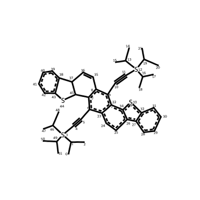 CC(C)S(C#Cc1c2c(c(C#CS(C(C)C)(C(C)C)C(C)C)c3c1ccc1c4ccccc4sc13)C=CC1c3ccccc3SC21)(C(C)C)C(C)C